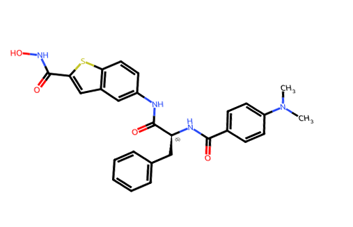 CN(C)c1ccc(C(=O)N[C@@H](Cc2ccccc2)C(=O)Nc2ccc3sc(C(=O)NO)cc3c2)cc1